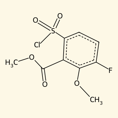 COC(=O)c1c(S(=O)(=O)Cl)ccc(F)c1OC